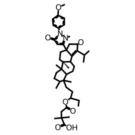 CCC(CCC1(C)C(C)CCC2(C)C1CCC1C3=C(C(C)C)C(=O)CC3(c3cc(=O)n(-c4ccc(OC)cc4)n3C)CC[C@]12C)OC(=O)CC(C)(C)C(=O)O